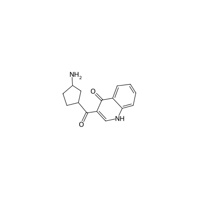 NC1CCC(C(=O)c2c[nH]c3ccccc3c2=O)C1